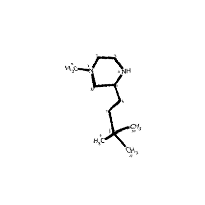 CN1CCNC(CCC(C)(C)C)C1